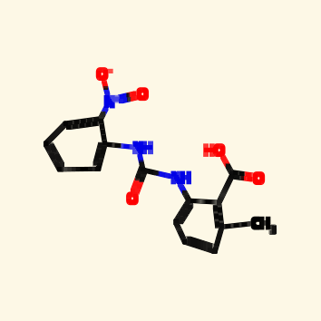 Cc1cccc(NC(=O)Nc2ccccc2[N+](=O)[O-])c1C(=O)O